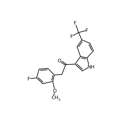 COc1cc(F)ccc1CC(=O)c1c[nH]c2ccc(C(F)(F)F)cc12